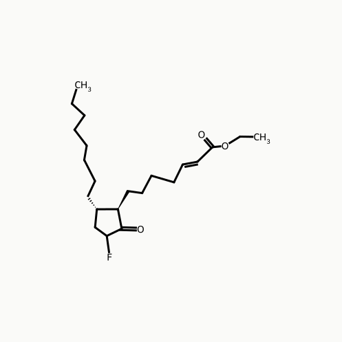 CCCCCCCC[C@H]1CC(F)C(=O)[C@@H]1CCCCC=CC(=O)OCC